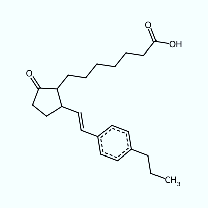 CCCc1ccc(C=CC2CCC(=O)C2CCCCCCC(=O)O)cc1